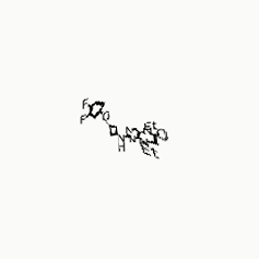 CCN1CC(=O)N(CC)c2cnc(N[C@H]3C[C@@H](COc4ccc(F)c(F)c4)C3)nc21